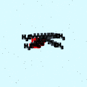 CCCCCCCCC(CCCCCCCC)C(CCCCCCCC)(CCCCCCCC)OC(=O)CC(O)(CC(=O)O)C(=O)O